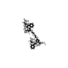 CN[C@@H](C)C(=O)NC(C(=O)N1C[C@@H](OCCOCCO[C@H]2C[C@@H](C(N)=O)N(C(=O)C(NC(=O)[C@H](C)NC)C3CCCCC3)C2)C[C@H]1C(N)=O)C1CCCCC1